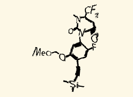 COCOc1cc(-n2c(=O)cc(C(F)(F)F)n(C)c2=O)c(F)cc1C#C[Si](C)(C)C